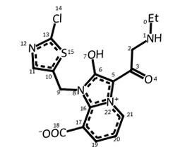 CCNCC(=O)c1c(O)n(Cc2cnc(Cl)s2)c2c(C(=O)[O-])ccc[n+]12